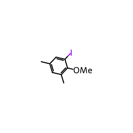 COc1c(C)cc(C)cc1I